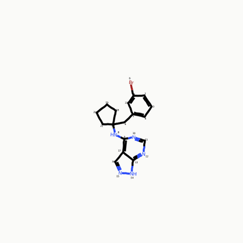 Brc1cccc(CC2(Nc3ncnc4[nH]ncc34)CCCC2)c1